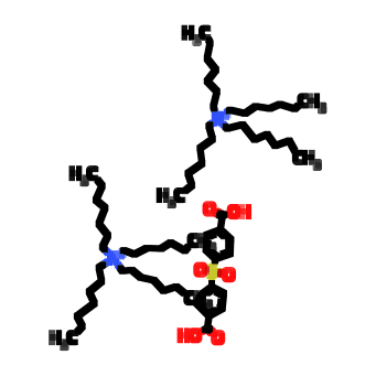 CCCCCCC[N+](CCCCCCC)(CCCCCCC)CCCCCCC.CCCCCCC[N+](CCCCCCC)(CCCCCCC)CCCCCCC.O=C(O)c1ccc(S(=O)(=O)c2ccc(C(=O)O)cc2)cc1